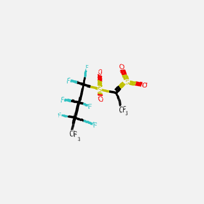 O=S(=O)=C(C(F)(F)F)S(=O)(=O)C(F)(F)C(F)(F)C(F)(F)C(F)(F)F